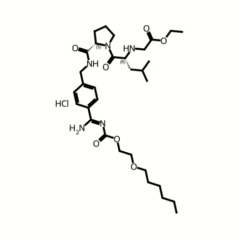 CCCCCCOCCOC(=O)N=C(N)c1ccc(CNC(=O)[C@@H]2CCCN2C(=O)[C@@H](CC(C)C)NCC(=O)OCC)cc1.Cl